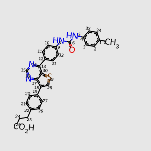 Cc1ccc(NC(=O)Nc2ccc(-c3ncnc4c(-c5ccc(CCC(=O)O)cc5)csc34)cc2)cc1